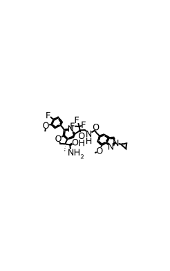 COc1cc(-c2nc(C(O)(CNC(=O)c3cc(OC)c4nn(C5CC5)cc4c3)C(F)(F)F)cc3c2OC[C@]3(C)C(N)=O)ccc1F